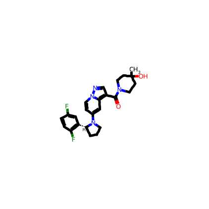 CC1(O)CCN(C(=O)c2cnn3ccc(N4CCC[C@@H]4c4cc(F)ccc4F)cc23)CC1